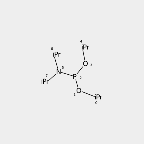 CC(C)OP(OC(C)C)N(C(C)C)C(C)C